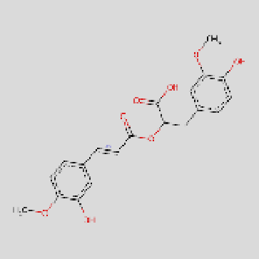 COc1ccc(/C=C/C(=O)OC(Cc2ccc(O)c(OC)c2)C(=O)O)cc1O